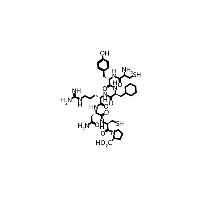 N=C(N)NCCC[C@H](NC(=O)[C@H](CC1CCCCC1)NC(=O)[C@H](Cc1ccc(O)cc1)NC(=O)[C@@H](N)CS)C(=O)N[C@@H](CC(N)=O)C(=O)N[C@@H](CS)C(=O)N1CCC[C@H]1C(=O)O